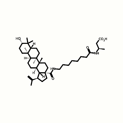 C=C(C)[C@@H]1CC[C@]2(C(=O)NCCCCCCCC(=O)N[C@H](C)CC(=O)O)CC[C@]3(C)[C@H](CC[C@H]4[C@@]5(C)CC[C@H](O)C(C)(C)[C@@H]5CC[C@]43C)[C@@H]12